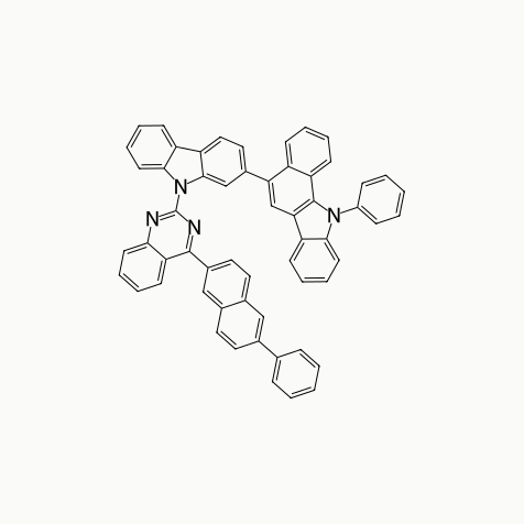 c1ccc(-c2ccc3cc(-c4nc(-n5c6ccccc6c6ccc(-c7cc8c9ccccc9n(-c9ccccc9)c8c8ccccc78)cc65)nc5ccccc45)ccc3c2)cc1